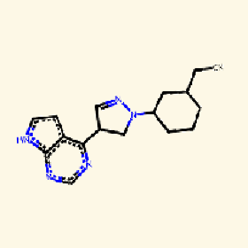 N#CCC1CCCC(N2CC(c3ncnc4[nH]ccc34)C=N2)C1